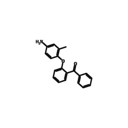 Cc1cc(N)ccc1Oc1ccccc1C(=O)c1ccccc1